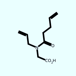 C=CCCC(=O)N(CC=C)CC(=O)O